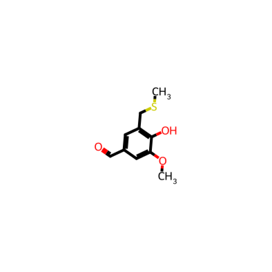 COc1cc(C=O)cc(CSC)c1O